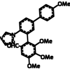 COc1ccc(-c2ccc(-n3cncn3)c(-c3c(C=O)cc(OC)c(OC)c3OC)c2)cc1